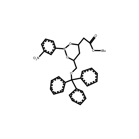 CC(C)(C)OC(=O)CC1CC(COC(c2ccccc2)(c2ccccc2)c2ccccc2)OB(c2cccc([N+](=O)[O-])c2)O1